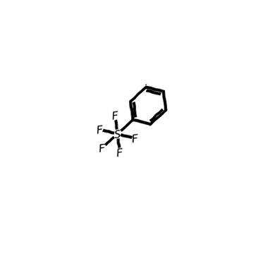 FS(F)(F)(F)(F)c1c[c]ccc1